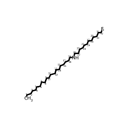 CCCCCCCCCCCCCCCCCCCCNCCCCCCCCCCCCF